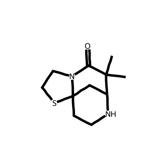 CC1(C)C(=O)N2CCSC23CCNC1C3